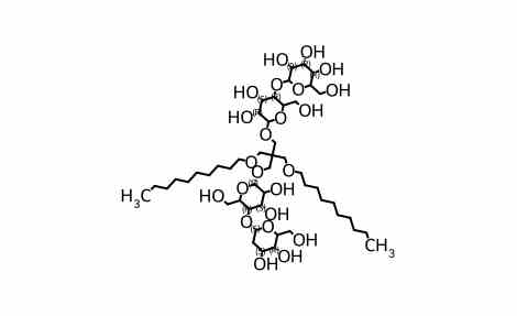 CCCCCCCCCCOCC(COCCCCCCCCCC)(COC1OC(CO)[C@H](OC2OC(CO)[C@H](O)[C@@H](O)[C@H]2O)[C@@H](O)[C@H]1O)CO[C@H]1OC(CO)[C@H](O[C@H]2C[C@H](O)[C@@H](O)C(CO)O2)[C@@H](O)C1O